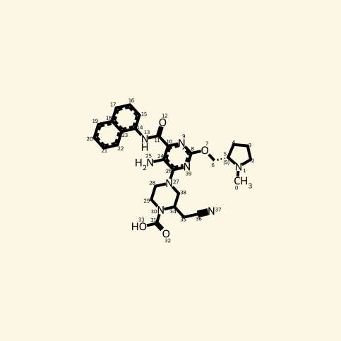 CN1CCC[C@H]1COc1nc(C(=O)Nc2cccc3ccccc23)c(N)c(N2CCN(C(=O)O)C(CC#N)C2)n1